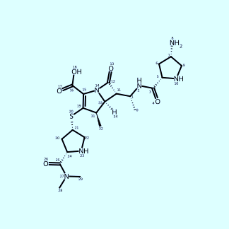 C[C@@H](NC(=O)[C@@H]1C[C@H](N)CN1)[C@H]1C(=O)N2C(C(=O)O)=C(S[C@@H]3CN[C@H](C(=O)N(C)C)C3)[C@H](C)[C@H]12